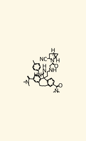 C=C(c1ccc2c(c1)CCc1cc(C(=O)N(C)C)ccc1C2(CCNCC(=O)N1C(C#N)C[C@@H]2C[C@@H]21)C(=N)Nc1ccc(C)cc1)N(C)C